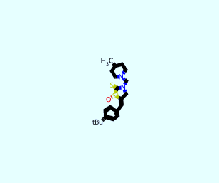 CC1CCN(CN2CC(=Cc3ccc(C(C)(C)C)cc3)[S+]([O-])C2=S)CC1